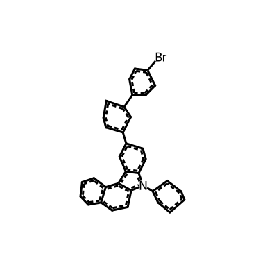 Brc1ccc(-c2cccc(-c3ccc4c(c3)c3c5ccccc5ccc3n4-c3ccccc3)c2)cc1